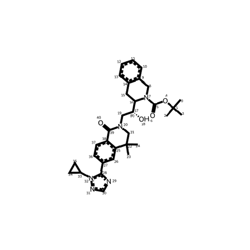 CC(C)(C)OC(=O)N1Cc2ccccc2CC1[C@H](O)CN1CC(C)(C)c2cc(-c3ncnn3C3CC3)ccc2C1=O